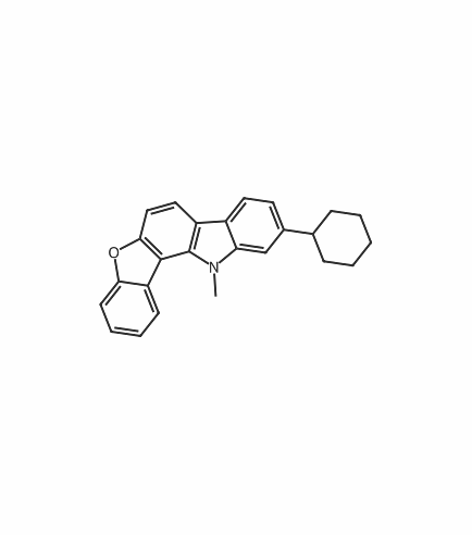 Cn1c2cc(C3CCCCC3)ccc2c2ccc3oc4ccccc4c3c21